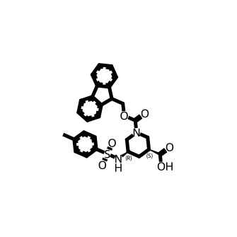 Cc1ccc(S(=O)(=O)N[C@@H]2C[C@H](C(=O)O)CN(C(=O)OCC3c4ccccc4-c4ccccc43)C2)cc1